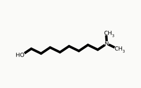 CN(C)CCCCCCCCO